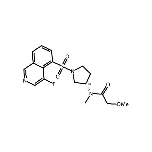 COCC(=O)N(C)[C@H]1CCN(S(=O)(=O)c2cccc3cncc(F)c23)C1